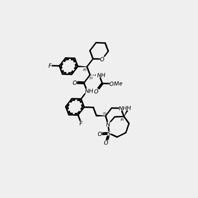 COC(=O)N[C@H](C(=O)Nc1cccc(F)c1CC[C@H]1CN[C@@H]2CCCS(=O)(=O)N1C2)[C@@H](c1ccc(F)cc1)C1CCCCO1